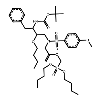 C=C(CN(CC(OCCCC)C(Cc1ccccc1)NC(=O)OC(C)(C)C)S(=O)(=O)c1ccc(OC)cc1)OCP(=O)(OCCCC)OCCCC